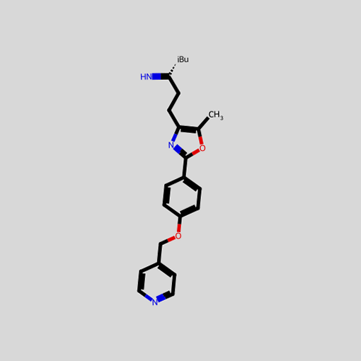 CC[C@@H](C)C(=N)CCc1nc(-c2ccc(OCc3ccncc3)cc2)oc1C